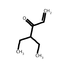 C=CC(=O)C(CC)CC